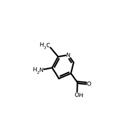 Cc1ncc(C(=O)O)cc1N